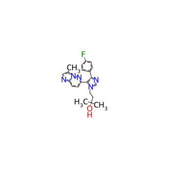 Cc1cnc2ccc(-c3c(-c4ccc(F)cc4)ncn3CCC(C)(C)O)nn12